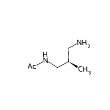 CC(=O)NC[C@H](C)CN